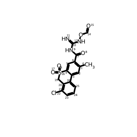 Cc1cc2c(cc1C(=O)NC(=N)NOC=O)S(=O)(=O)Cc1c(Cl)cccc1-2